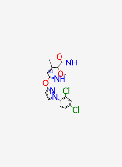 CNC(=O)C(OC)/C(C)=C\C(=N)Oc1ccn(-c2ccc(Cl)cc2Cl)n1